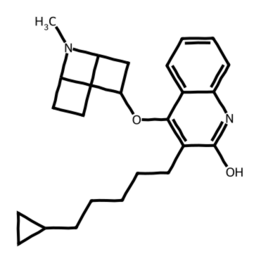 CN1C2CCC23C(Oc2c(CCCCCC4CC4)c(O)nc4ccccc24)CC13